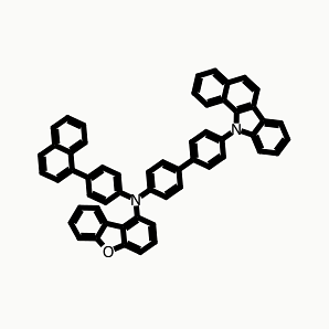 c1ccc2c(-c3ccc(N(c4ccc(-c5ccc(-n6c7ccccc7c7ccc8ccccc8c76)cc5)cc4)c4cccc5oc6ccccc6c45)cc3)cccc2c1